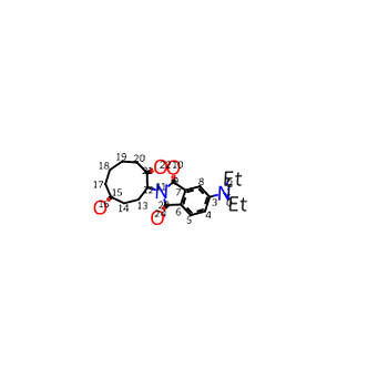 CCN(CC)c1ccc2c(c1)C(=O)N(C1CCC(=O)CCCCC1=O)C2=O